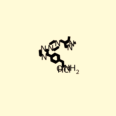 Cc1c(CN2CCN(c3nccnc3-c3ccc(CC(N)=O)cc3)CC2)cnn1C.Cl